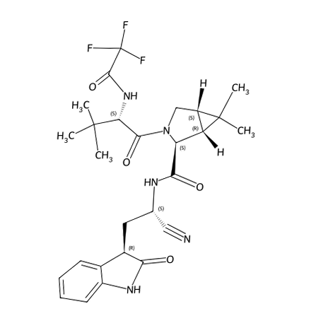 CC(C)(C)[C@H](NC(=O)C(F)(F)F)C(=O)N1C[C@H]2[C@@H]([C@H]1C(=O)N[C@H](C#N)C[C@H]1C(=O)Nc3ccccc31)C2(C)C